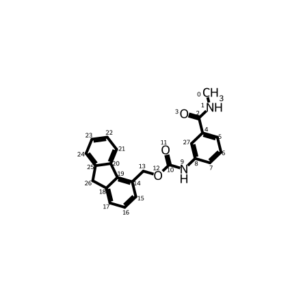 CNC(=O)c1cccc(NC(=O)OCc2cccc3c2-c2ccccc2C3)c1